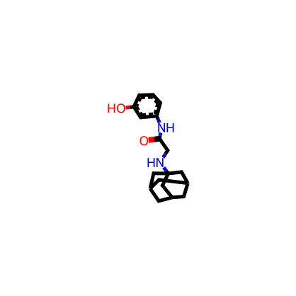 O=C(CNC12CC3CC(CC(C3)C1)C2)Nc1cccc(O)c1